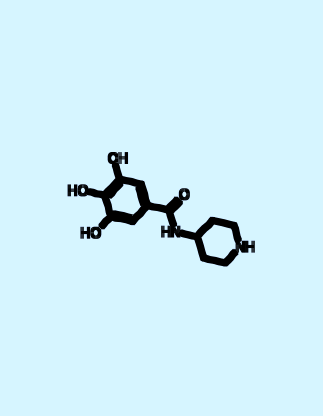 O=C(NC1CCNCC1)c1cc(O)c(O)c(O)c1